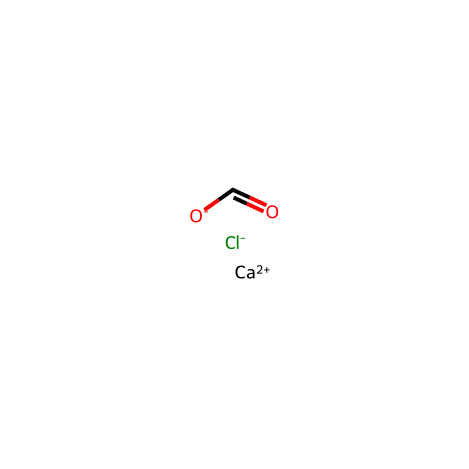 O=C[O-].[Ca+2].[Cl-]